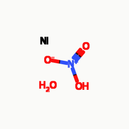 O.O=[N+]([O-])O.[Ni]